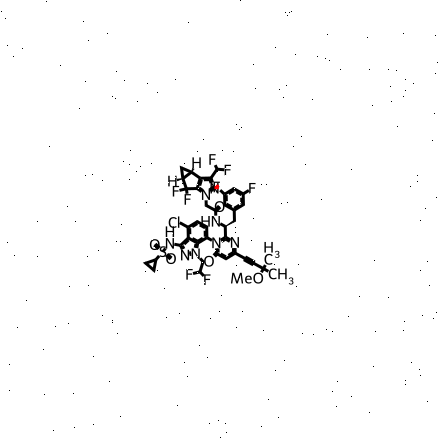 COC(C)(C)C#Cc1cc(=O)n(-c2ccc(Cl)c3c(NS(=O)(=O)C4CC4)nn(CC(F)F)c23)c([C@H](Cc2cc(F)cc(F)c2)NC(=O)Cn2nc(C(F)F)c3c2C(F)(F)[C@@H]2C[C@H]32)n1